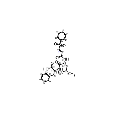 CC(C)C[C@H](NC(=O)/C=C/S(=O)(=O)c1ccccc1)C(=O)N[C@@H](Cc1ccccc1)C(=O)O